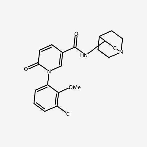 COc1c(Cl)cccc1-n1cc(C(=O)NC2CN3CCC2CC3)ccc1=O